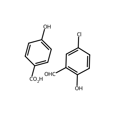 O=C(O)c1ccc(O)cc1.O=Cc1cc(Cl)ccc1O